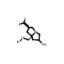 CC1CN2CC(=C(F)F)C[C@@]2(COC(C)C)C1